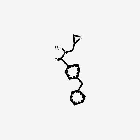 CN(CC1CO1)C(=O)c1ccc(Cc2ccccc2)cc1